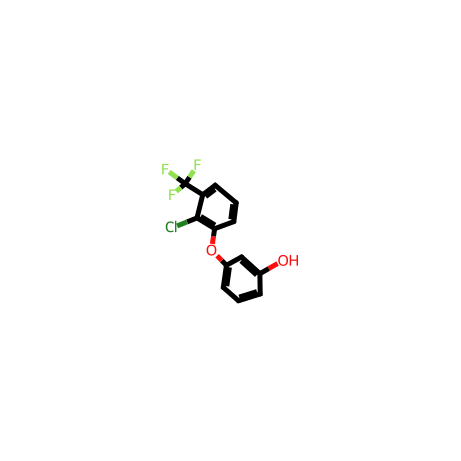 Oc1cccc(Oc2cccc(C(F)(F)F)c2Cl)c1